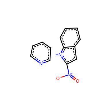 O=[N+]([O-])c1cc2ccccc2[nH]1.c1ccncc1